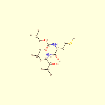 CSCCC(NC(=O)OCC(C)C)C(=O)NC(CC(C)C)C(=O)C(C)C